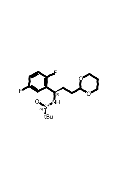 CC(C)(C)[S@@+]([O-])N[C@H](CCC1OCCCO1)c1cc(F)ccc1F